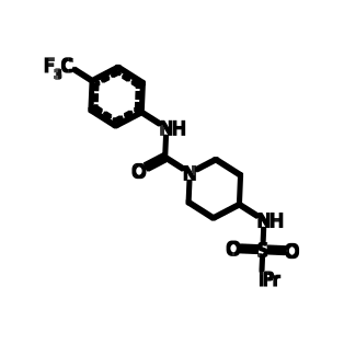 CC(C)S(=O)(=O)NC1CCN(C(=O)Nc2ccc(C(F)(F)F)cc2)CC1